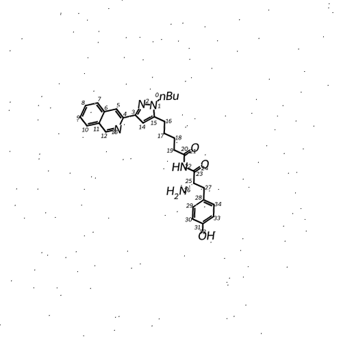 CCCCn1nc(-c2cc3ccccc3cn2)cc1CCCCC(=O)NC(=O)[C@@H](N)Cc1ccc(O)cc1